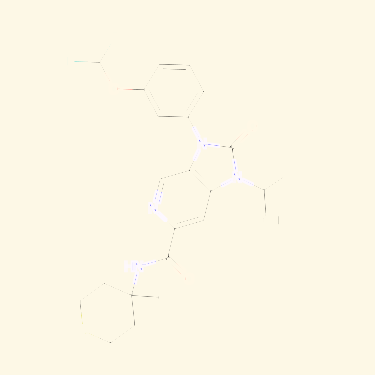 CC(C)n1c(=O)n(-c2cccc(OC(F)F)c2)c2cnc(C(=O)NC3(C)CCSCC3)cc21